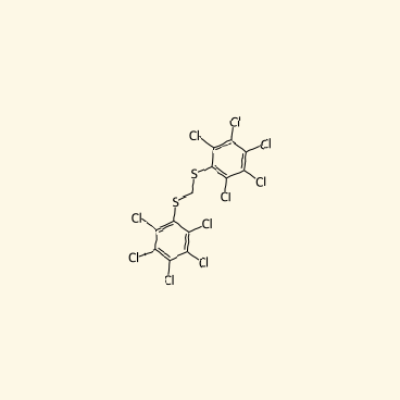 Clc1c(Cl)c(Cl)c(SCSc2c(Cl)c(Cl)c(Cl)c(Cl)c2Cl)c(Cl)c1Cl